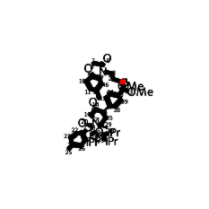 COCCCN1C(=O)COc2ccc(CO[C@H]3CN(S(=O)(=O)c4ccc(C)cc4)[C@@](C)(O[Si](C(C)C)(C(C)C)C(C)C)C[C@@H]3c3ccc(C(=O)OC)cc3)cc21